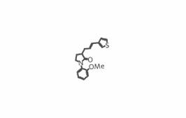 COc1ccccc1N1CCC(CC=Cc2ccsc2)C1=O